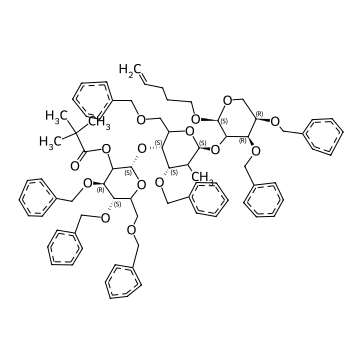 C=CCCCO[C@H]1OC[C@@H](OCc2ccccc2)[C@@H](OCc2ccccc2)C1O[C@@H]1OC(COCc2ccccc2)[C@@H](O[C@@H]2OC(COCc3ccccc3)[C@H](OCc3ccccc3)[C@@H](OCc3ccccc3)C2OC(=O)C(C)(C)C)[C@@H](OCc2ccccc2)C1C